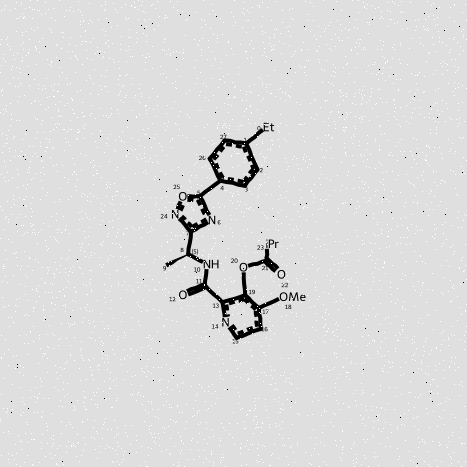 CCc1ccc(-c2nc([C@H](C)NC(=O)c3nccc(OC)c3OC(=O)C(C)C)no2)cc1